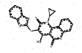 O=c1oc2ccccc2c2c1c(O)c(Sc1nc3ccccc3o1)c(=O)n2C1CC1